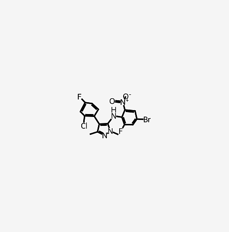 Cc1nn(C)c(Nc2c(F)cc(Br)cc2[N+](=O)[O-])c1-c1ccc(F)cc1Cl